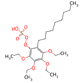 CCCCCCCCCc1c(OCC)c(OCC)c(OCC)c(OCC)c1OOS(=O)(=O)O